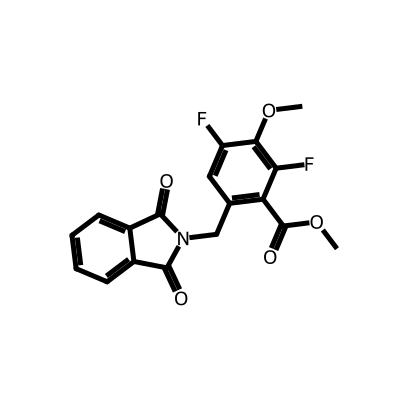 COC(=O)c1c(CN2C(=O)c3ccccc3C2=O)cc(F)c(OC)c1F